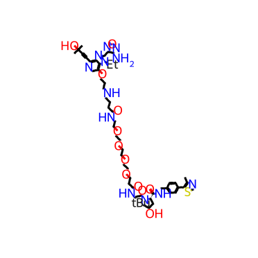 CCn1c(-c2nonc2N)nc2c(C#CC(C)(C)O)ncc(OCCCNCCCC(=O)NCCOCCOCCOCCOCCC(=O)NC(C(=O)N3C[C@H](O)C[C@H]3C(=O)NCc3ccc(-c4scnc4C)cc3)C(C)(C)C)c21